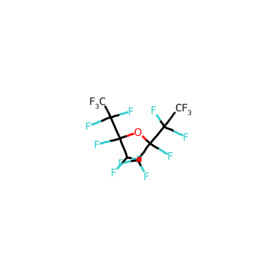 FC(F)C(F)(OC(F)(C(F)F)C(F)(F)C(F)(F)F)C(F)(F)C(F)(F)F